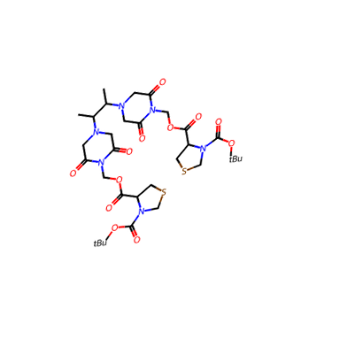 CC(C(C)N1CC(=O)N(COC(=O)C2CSCN2C(=O)OC(C)(C)C)C(=O)C1)N1CC(=O)N(COC(=O)C2CSCN2C(=O)OC(C)(C)C)C(=O)C1